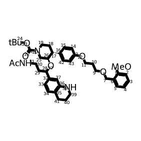 COc1ccccc1COCCCOc1ccc([C@H]2CCN(C(=O)OC(C)(C)C)C[C@@H]2OC(CCNC(C)=O)c2ccc3c(c2)NCCC3)cc1